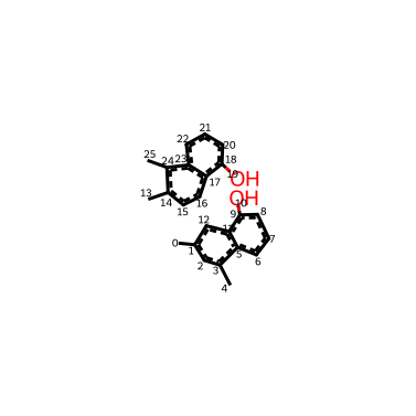 Cc1cc(C)c2cccc(O)c2c1.Cc1ccc2c(O)cccc2c1C